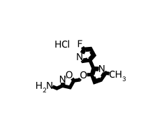 Cc1ccc(OCC2CC(CN)=NO2)c(-c2ccc(F)nc2)n1.Cl